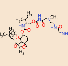 COC1C(OC(=O)N[C@@H](COC(=O)NC(=O)CN(C)CCNC(=O)CN)C(C)C)CC[C@]2(CO2)C1C1(C)O[C@@H]1CC=C(C)C